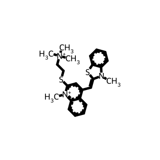 CN1/C(=C/c2cc(SCC[N+](C)(C)C)[n+](C)c3ccccc23)Sc2ccccc21